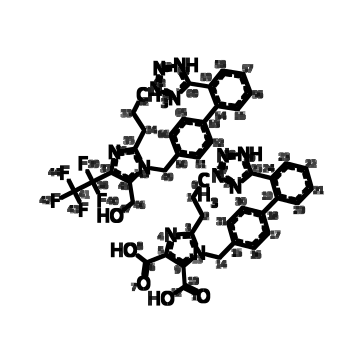 CCCc1nc(C(=O)O)c(C(=O)O)n1Cc1ccc(-c2ccccc2-c2nnn[nH]2)cc1.CCCc1nc(C(F)(F)C(F)(F)F)c(CO)n1Cc1ccc(-c2ccccc2-c2nnn[nH]2)cc1